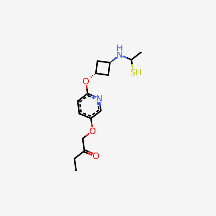 CCC(=O)COc1ccc(O[C@H]2C[C@H](NC(C)S)C2)nc1